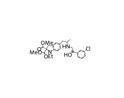 CCN1c2ccc(CC(C)NC[C@H](O)c3cccc(Cl)c3)cc2CC1(C(=O)OC)C(=O)OC